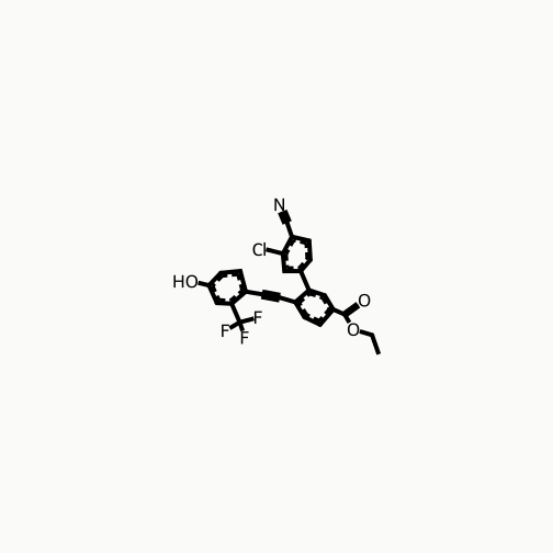 CCOC(=O)c1ccc(C#Cc2ccc(O)cc2C(F)(F)F)c(-c2ccc(C#N)c(Cl)c2)c1